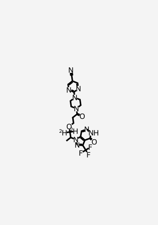 [2H]C([2H])(OCCC(=O)N1CCN(c2ncc(C#N)cn2)CC1)C(C)n1nc(C(F)(F)F)c2c(=O)[nH]ncc21